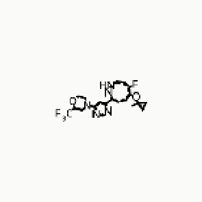 CC1(Oc2ccc(-c3cc(N4CCOC(C(F)(F)F)C4)ncn3)n[nH]ccc2F)CC1